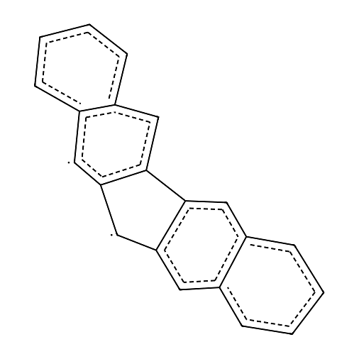 [c]1c2c(cc3ccccc13)-c1cc3ccccc3cc1[CH]2